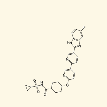 O=C(NS(=O)(=O)C1CC1)[C@H]1CC[C@@H](Oc2ccc(-c3ccc(-c4nc5cc(F)ccc5[nH]4)cn3)cn2)CC1